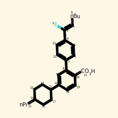 CCCCC=C(F)c1ccc(-c2cc(C3CCC(CCC)CC3)ccc2C(=O)O)cc1